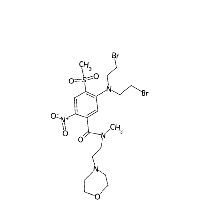 CN(CCN1CCOCC1)C(=O)c1cc(N(CCBr)CCBr)c(S(C)(=O)=O)cc1[N+](=O)[O-]